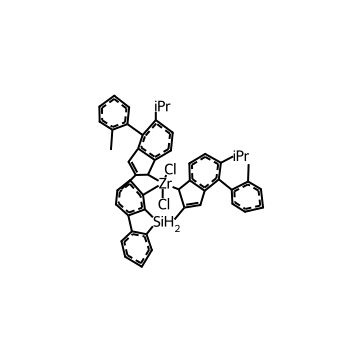 CC1=Cc2c(ccc(C(C)C)c2-c2ccccc2C)[CH]1[Zr]([Cl])([Cl])([c]1cccc2c1[SiH2]c1ccccc1-2)[CH]1C(C)=Cc2c1ccc(C(C)C)c2-c1ccccc1C